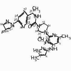 Cc1cc(Nc2cc(C)[nH]n2)nc(N2CCN(C(=O)N[C@@H](C)c3ccc(-n4cc(F)cn4)nc3)C[C@H]2C)n1